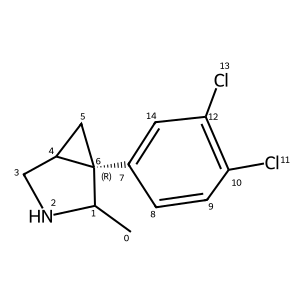 CC1NCC2C[C@]21c1ccc(Cl)c(Cl)c1